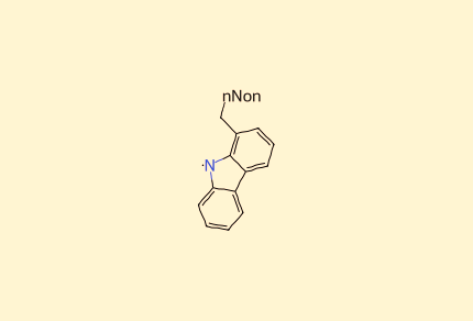 CCCCCCCCCCc1cccc2c1[N]c1ccccc1-2